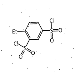 CCc1ccc(S(=O)(=O)Cl)cc1S(=O)(=O)Cl